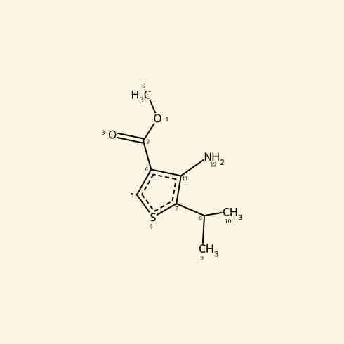 COC(=O)c1csc(C(C)C)c1N